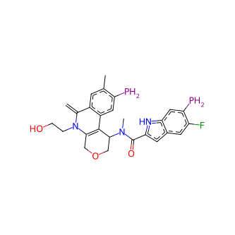 C=C1c2cc(C)c(P)cc2C2=C(COCC2N(C)C(=O)c2cc3cc(F)c(P)cc3[nH]2)N1CCO